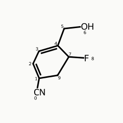 N#CC1=CC=C(CO)C(F)C1